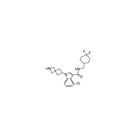 O=C(NCC1CCC(F)(F)CC1)c1cn(C2CC3(CNC3)C2)c2cccc(Cl)c12